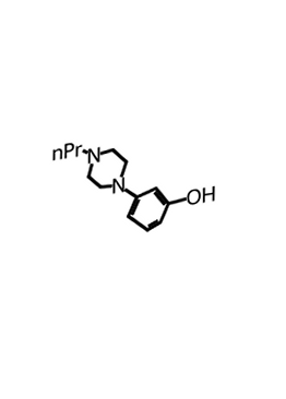 CCCN1CCN(c2cccc(O)c2)CC1